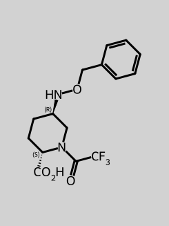 O=C(O)[C@@H]1CC[C@@H](NOCc2ccccc2)CN1C(=O)C(F)(F)F